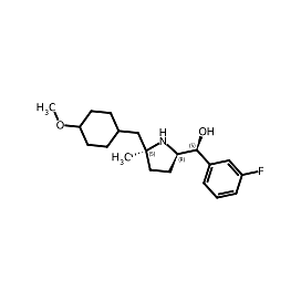 COC1CCC(C[C@]2(C)CC[C@H]([C@@H](O)c3cccc(F)c3)N2)CC1